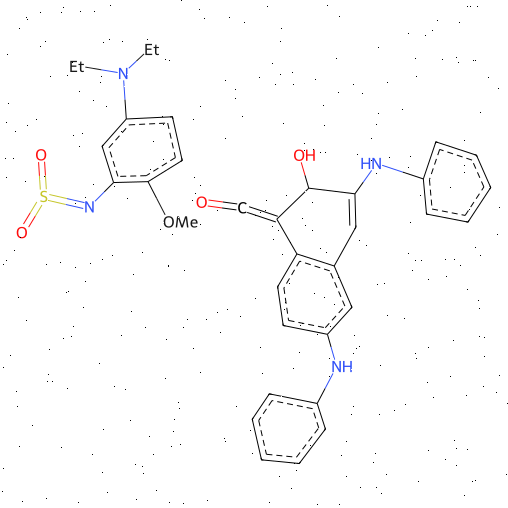 CCN(CC)c1ccc(OC)c(N=S(=O)=O)c1.O=C=C1c2ccc(Nc3ccccc3)cc2C=C(Nc2ccccc2)C1O